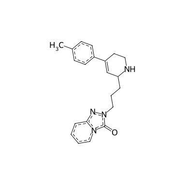 Cc1ccc(C2=CC(CCCn3nc4ccccn4c3=O)NCC2)cc1